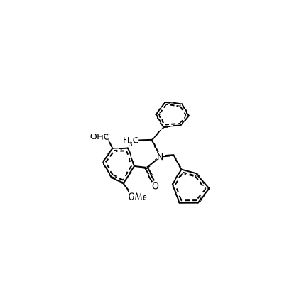 COc1ccc(C=O)cc1C(=O)N(Cc1ccccc1)C(C)c1ccccc1